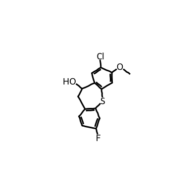 COc1cc2c(cc1Cl)C(O)Cc1ccc(F)cc1S2